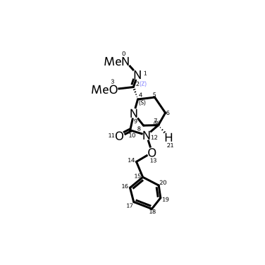 CN/N=C(\OC)[C@@H]1CC[C@@H]2CN1C(=O)N2OCc1ccccc1